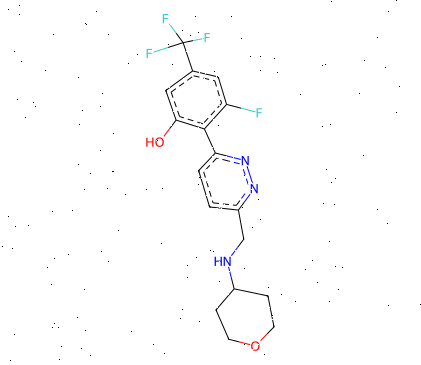 Oc1cc(C(F)(F)F)cc(F)c1-c1ccc(CNC2CCOCC2)nn1